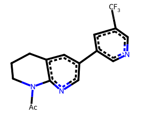 CC(=O)N1CCCc2cc(-c3cncc(C(F)(F)F)c3)cnc21